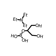 CCN(CC)CC.OCC(CO)OB(O)O